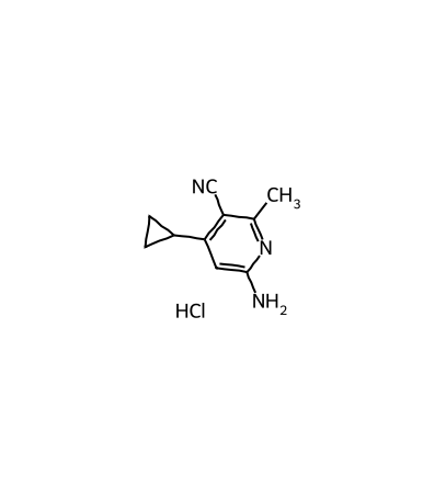 Cc1nc(N)cc(C2CC2)c1C#N.Cl